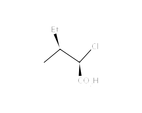 CC[C@H](C)[C@@H](Cl)C(=O)O